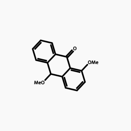 COc1cccc2c1C(=O)c1ccccc1C2OC